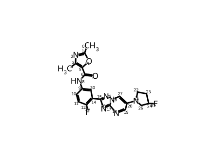 Cc1nc(C)c(C(=O)Nc2ccc(F)c(-c3nc4ncc(N5CCC(F)C5)cn4n3)c2)o1